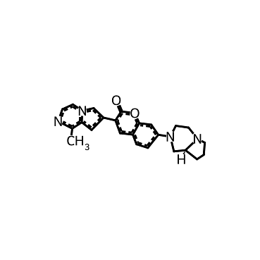 Cc1nccn2cc(-c3cc4ccc(N5CCN6CCC[C@H]6C5)cc4oc3=O)cc12